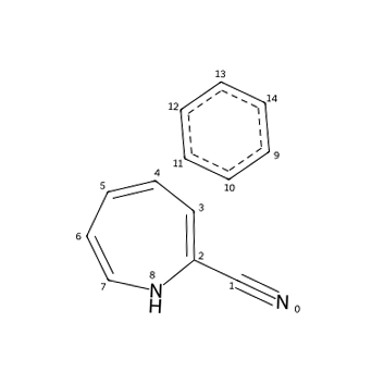 N#CC1=CC=CC=CN1.c1ccccc1